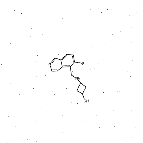 OC1CC(NCc2c(F)ccc3cnccc23)C1